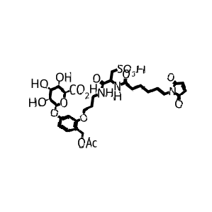 CC(=O)OCc1ccc(O[C@@H]2O[C@H](C(=O)O)[C@@H](O)[C@H](O)[C@H]2O)cc1OCCCNC(=O)C(CS(=O)(=O)O)NC(=O)CCCCCN1C(=O)C=CC1=O